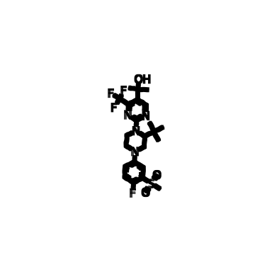 CC(C)(O)c1cnc(N2CCN(c3ccc(F)c(S(C)(=O)=O)c3)CC2C(C)(C)C)nc1C(F)(F)F